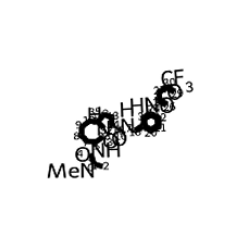 CNC(C)C(=O)N[C@H]1CCCC[C@H]2CC[C@@H](C(=O)NCc3cccc(NC(=O)CC(=O)C(F)(F)F)c3)N2C1=O